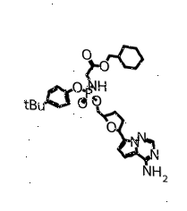 CC(C)(C)c1ccc(OP(=O)(NCC(=O)OCC2CCCCC2)OCC2CCC(c3ccc4c(N)ncnn34)O2)cc1